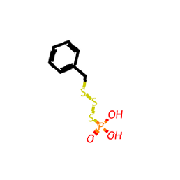 O=P(O)(O)SSSCc1ccccc1